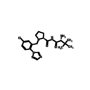 CC(C)(C)[C@@H](N)C(=O)NC(=O)[C@@H]1CCCN1Cc1cc(Cl)ccc1-n1cncn1